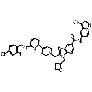 O=C(Nc1ccn2ncc(Cl)c2c1)c1ccc2c(c1)nc(CN1CC=C(c3cccc(OCc4ccc(Cl)cc4F)n3)CC1)n2CC1CCO1